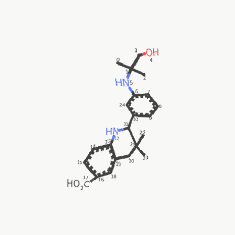 CC(C)(CO)Nc1cccc(C2Nc3ccc(C(=O)O)cc3CC2(C)C)c1